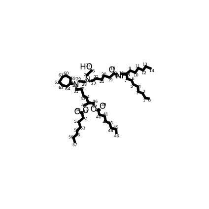 CCCCCCCCC(CCCCCC)CNC(=O)CCCCCN(CCO)CCN(CCCCC(COC(=O)CCCCCCC)COC(=O)CCCCCCC)C1CCCCCC1